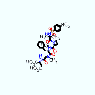 CN(CC(=O)N[C@@H](CC(=O)O)C(=O)O)C(=O)[C@H](CC1CCCCC1)N(C)C(=O)[C@@H]1CCN1C(=O)C(C)(C)NS(=O)(=O)c1ccc([N+](=O)[O-])cc1